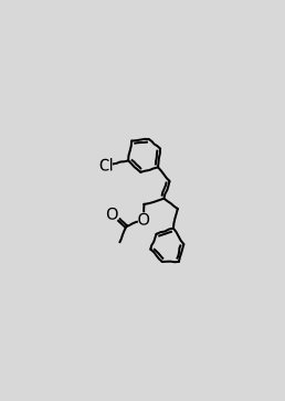 CC(=O)OCC(=Cc1cccc(Cl)c1)Cc1ccccc1